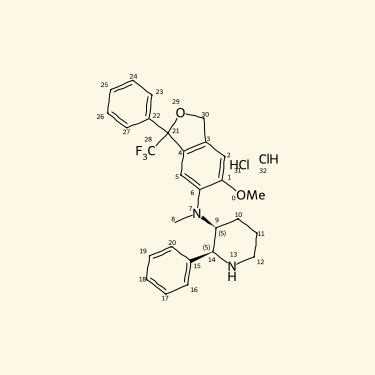 COc1cc2c(cc1N(C)[C@H]1CCCN[C@H]1c1ccccc1)C(c1ccccc1)(C(F)(F)F)OC2.Cl.Cl